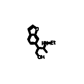 CCNC(C)C(CO)c1ccc2ccoc2c1